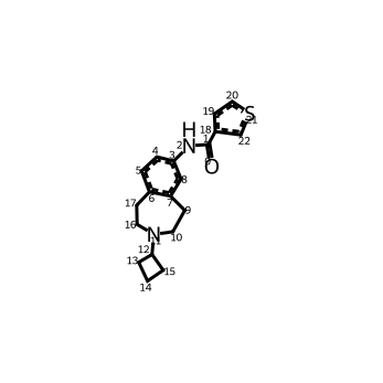 O=C(Nc1ccc2c(c1)CCN(C1CCC1)CC2)c1ccsc1